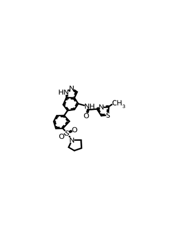 Cc1nc(C(=O)Nc2cc(-c3cccc(S(=O)(=O)N4CCCC4)c3)cc3[nH]ncc23)cs1